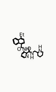 CCc1ccc(C(=O)Nc2cccnc2C(=O)NCC2CCCCN2)c2ccccc12